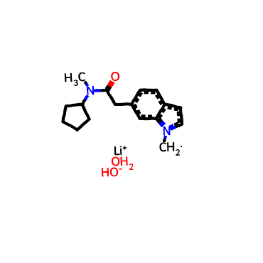 O.[CH2]n1ccc2ccc(CC(=O)N(C)C3CCCC3)cc21.[Li+].[OH-]